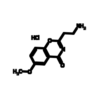 COc1ccc2oc(CCN)nc(=O)c2c1.Cl